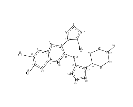 CCc1nccn1-c1nc2cc(Cl)c(Cl)cc2nc1Sc1nnnn1C1CCN(C)CC1